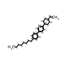 CCCCCCCCc1ccc(-c2ccc(C3CCC(CC)CC3)nc2)cc1